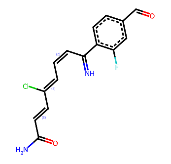 N=C(\C=C/C=C(Cl)/C=C/C(N)=O)c1ccc(C=O)cc1F